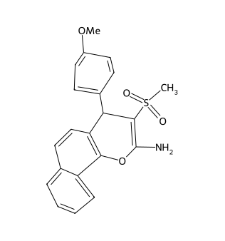 COc1ccc(C2C(S(C)(=O)=O)=C(N)Oc3c2ccc2ccccc32)cc1